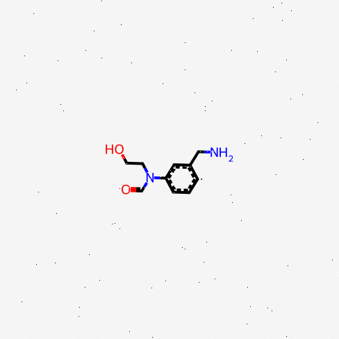 NCc1[c]ccc(N(C=O)CCO)c1